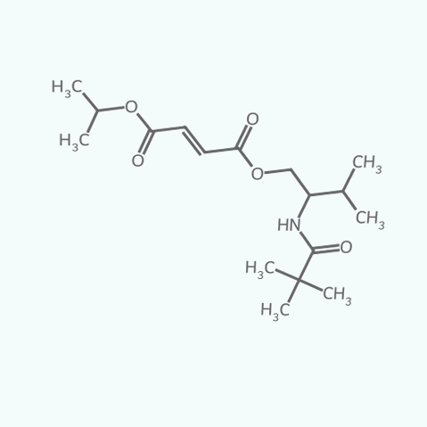 CC(C)OC(=O)/C=C/C(=O)OCC(NC(=O)C(C)(C)C)C(C)C